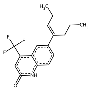 CCC=C(CCC)c1ccc2[nH]c(=O)cc(C(F)(F)F)c2c1